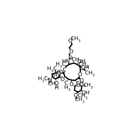 CC[C@H]1OC(=O)[C@H](C)[C@@H](O[C@H]2C[C@@](C)(OC)[C@@H](O)[C@H](C)O2)[C@H](C)[C@@H](O[C@@H]2O[C@H](C)C[C@H](N(C)C)[C@H]2O)[C@](C)(O)C[C@@H](C)C(NOCOCCOC)[C@H](C)[C@@H](O)[C@]1(C)O